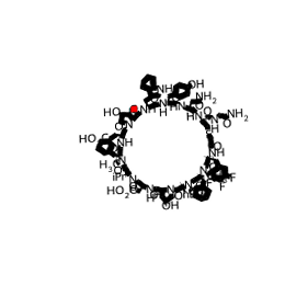 CCCC[C@H]1C(=O)N2C[C@H](O)C[C@@H]2C(=O)N[C@@H](CC(=O)O)C(=O)N[C@@H](C(C)C)C(=O)N(C)[C@@H](Cc2ccccc2)C(=O)N[C@@H](CCC(=O)O)C(=O)N2C[C@H](O)C[C@H]2C(=O)N[C@@H](Cc2c[nH]c3ccccc23)C(=O)N[C@@H](Cc2ccc(O)cc2)C(=O)N[C@@H](CCN)C(=O)N[C@H](C(=O)NCC(N)=O)CSCC(=O)N[C@@H](Cc2cc(F)c(F)c(F)c2)C(=O)N(C)[C@@H](Cc2ccccc2)C(=O)N1C